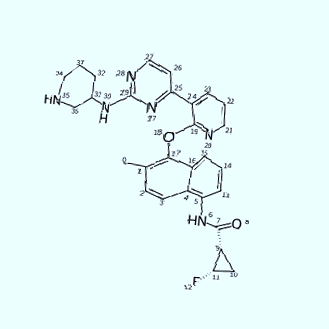 Cc1ccc2c(NC(=O)[C@@H]3C[C@@H]3F)cccc2c1Oc1ncccc1-c1ccnc(NC2CCCNC2)n1